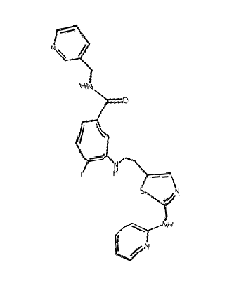 O=C(NCc1cccnc1)c1ccc(F)c(NCc2cnc(Nc3ccccn3)s2)c1